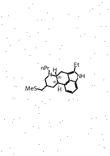 CCCN1CC(CSC)C[C@@H]2c3cccc4[nH]c(CC)c(c34)C[C@H]21